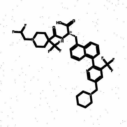 O=C(O)[C@H](Cc1cccc2c(-c3ncc(CN4CCCCC4)cc3C(F)(F)F)cccc12)NC(=O)C1(C(F)(F)F)CCN(CC(F)F)CC1